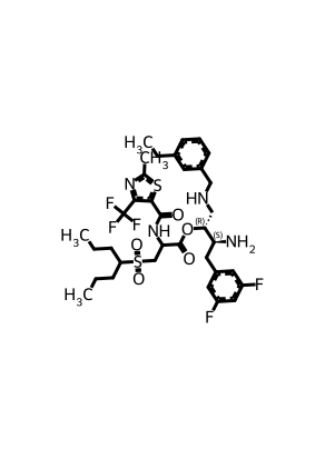 CCCC(CCC)S(=O)(=O)CC(NC(=O)c1sc(C)nc1C(F)(F)F)C(=O)O[C@H](CNCc1cccc(CC)c1)[C@@H](N)Cc1cc(F)cc(F)c1